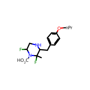 CCCOc1ccc(CC2NCC(F)N(C(=O)O)C2(C)F)cc1